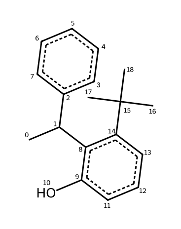 CC(c1ccccc1)c1c(O)cccc1C(C)(C)C